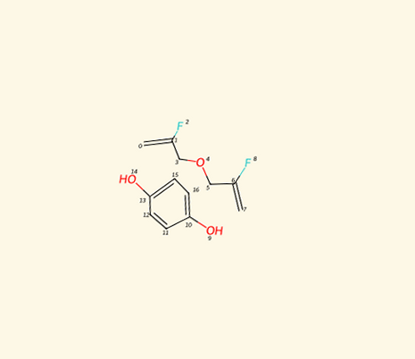 C=C(F)COCC(=C)F.Oc1ccc(O)cc1